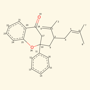 C=C(C)C(CC=C(C)C)CC1(c2ccccc2)CC(=O)c2ccccc2O1